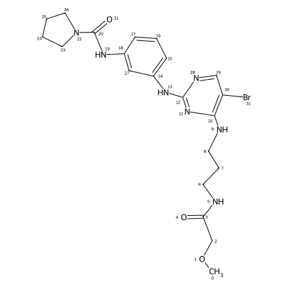 COCC(=O)NCCCNc1nc(Nc2cccc(NC(=O)N3CCCC3)c2)ncc1Br